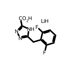 O=C(O)c1nnc(Cc2c(F)cccc2F)[nH]1.[LiH]